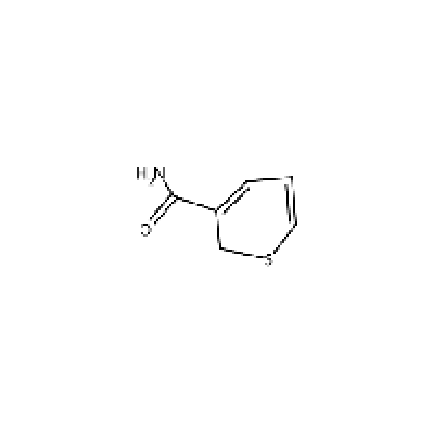 NC(=O)C1=CC=CSC1